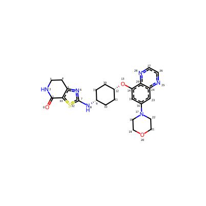 O=C1NCCc2nc(N[C@H]3CC[C@@H](Oc4cc(N5CCOCC5)cc5nccnc45)CC3)sc21